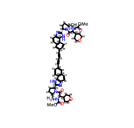 COC(=O)NC(C(=O)N1[C@@H](C)CC[C@H]1c1nc2ccc3cc(C#CC#Cc4ccc5c(ccc6nc([C@@H]7CC[C@H](C)N7C(=O)C(NC(=O)OC)C7CCOCC7)[nH]c65)c4)ccc3c2[nH]1)C1CCOCC1